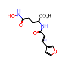 O=C(/C=C/c1ccoc1)NC(CCC(=O)NO)C(=O)O